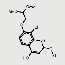 CCOC1C=C(O)c2ccc(OCC(OC)OC)c(Cl)c2N1